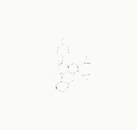 CCc1cccc(CC)c1N(C=O)c1nc(C2CC2)c(C2CC2)cc1/C(=N\C)N1CCN(C=O)CC1C